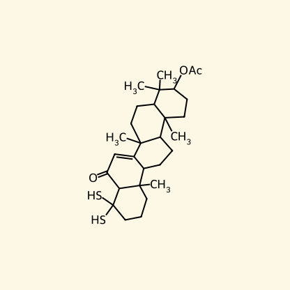 CC(=O)OC1CCC2(C)C3CCC4C(=CC(=O)C5C(S)(S)CCCC45C)C3(C)CCC2C1(C)C